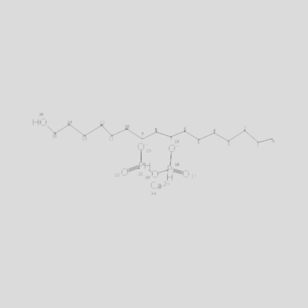 CCCCCCCCCCCCCCCCO.O=[PH]([O-])O[PH](=O)[O-].[Ca+2]